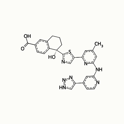 Cc1cc(Nc2cc(-c3c[nH]nn3)ccn2)nc(-c2cnc([C@]3(O)CCCc4cc(C(=O)O)ccc43)s2)c1